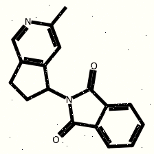 Cc1cc2c(cn1)CCC2N1C(=O)c2ccccc2C1=O